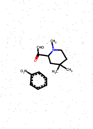 CN1CCC(C)(C)CC1C(=O)C=O.O=[N+]([O-])c1ccccc1